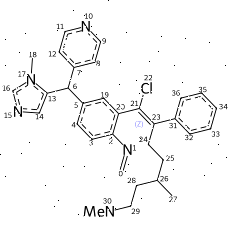 C=Nc1ccc(C(c2ccncc2)c2cncn2C)cc1/C(Cl)=C(\CCC(C)CCNC)c1ccccc1